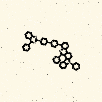 c1ccc(-c2nc(-c3ccc(-c4ccc(-c5cccc6c5nc(-c5ccccc5)c5c6ccc6c5c5ccccc5n6-c5ccccc5)cc4)cc3)nc3ccccc23)cc1